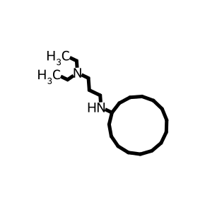 CCN(CC)CCCNC1CCCCCCCCCCCCCC1